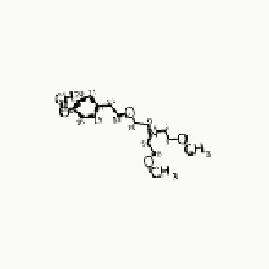 COCCN(CCOC)CCOCCc1ccc(OC)cc1